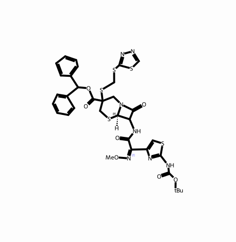 CO/N=C(\C(=O)NC1C(=O)N2CC(SCSc3nncs3)(C(=O)OC(c3ccccc3)c3ccccc3)CS[C@H]12)c1csc(NC(=O)OC(C)(C)C)n1